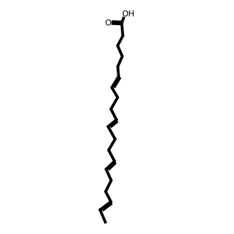 CC=CCCC=CCCC=CCCC=CCCCCC(=O)O